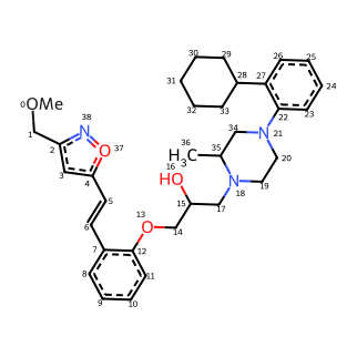 COCc1cc(C=Cc2ccccc2OCC(O)CN2CCN(c3ccccc3C3CCCCC3)CC2C)on1